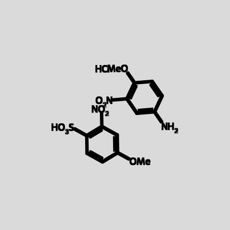 COc1ccc(N)cc1[N+](=O)[O-].COc1ccc(S(=O)(=O)O)c([N+](=O)[O-])c1.Cl